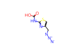 [N-]=[N+]=NCc1csc(NC(=O)O)n1